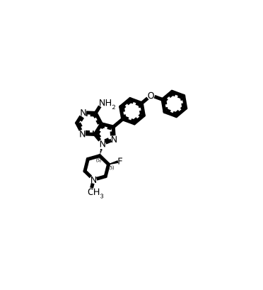 CN1CC[C@H](n2nc(-c3ccc(Oc4ccccc4)cc3)c3c(N)ncnc32)[C@@H](F)C1